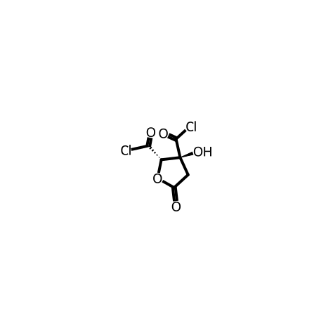 O=C1C[C@@](O)(C(=O)Cl)[C@@H](C(=O)Cl)O1